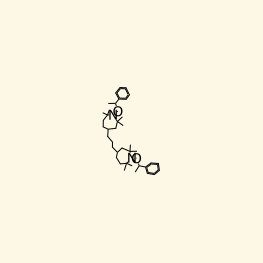 CC(ON1C(C)(C)CCC(CCCC2CCC(C)(C)N(OC(C)c3ccccc3)C(C)(C)C2)CC1(C)C)c1ccccc1